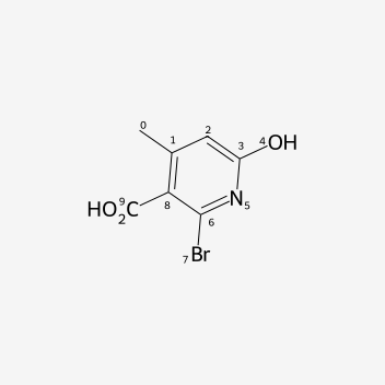 Cc1cc(O)nc(Br)c1C(=O)O